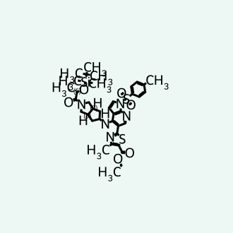 CCOC(=O)c1sc(-c2cnc3c(ccn3S(=O)(=O)c3ccc(C)cc3)c2NC2C[C@@H]3CN(C(=O)[C@H](C)O[Si](C)(C)C(C)(C)C)C[C@@H]3C2)nc1C